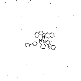 c1ccc(-c2ccc(-c3nc(-n4c5c(-c6ccc7sc8ccccc8c7c6)c6ccccc6cc5c5ccc6ccccc6c54)nc4ccccc34)cc2)cc1